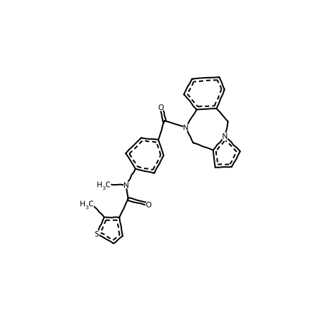 Cc1sccc1C(=O)N(C)c1ccc(C(=O)N2Cc3cccn3Cc3ccccc32)cc1